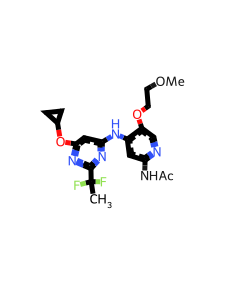 COCCOc1cnc(NC(C)=O)cc1Nc1cc(OC2CC2)nc(C(C)(F)F)n1